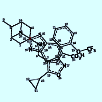 CC1C2CC(NCc3c(-c4ccccc4OC(F)(F)F)noc3C3CC3)CC1N2c1nc2ccc(C(=O)O)cc2s1